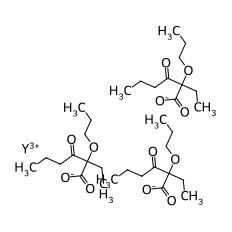 CCCOC(CC)(C(=O)[O-])C(=O)CCC.CCCOC(CC)(C(=O)[O-])C(=O)CCC.CCCOC(CC)(C(=O)[O-])C(=O)CCC.[Y+3]